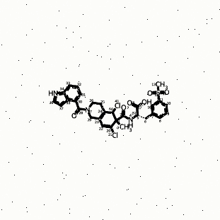 CC1(C(=O)N[C@@H](Cc2cccc(S(C)(=O)=O)c2)C(=O)O)C(Cl)=CC2=C(CCN(C(=O)c3cccc4[nH]ccc34)C2)C1Cl